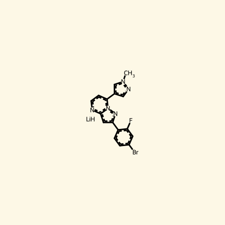 Cn1cc(-c2ccnc3cc(-c4ccc(Br)cc4F)nn23)cn1.[LiH]